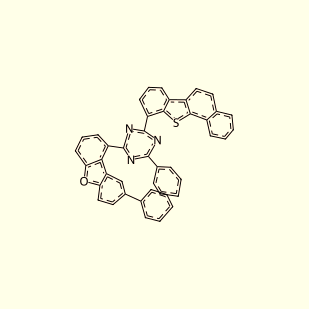 c1ccc(-c2ccc3oc4cccc(-c5nc(-c6ccccc6)nc(-c6cccc7c6sc6c8ccccc8ccc76)n5)c4c3c2)cc1